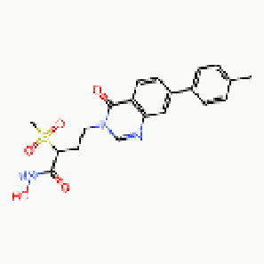 Cc1ccc(-c2ccc3c(=O)n(CCC(C(=O)NO)S(C)(=O)=O)cnc3c2)cc1